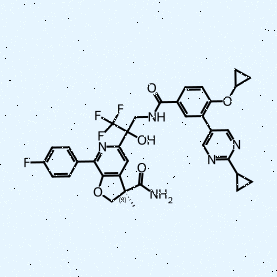 C[C@]1(C(N)=O)COc2c1cc(C(O)(CNC(=O)c1ccc(OC3CC3)c(-c3cnc(C4CC4)nc3)c1)C(F)(F)F)nc2-c1ccc(F)cc1